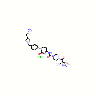 C[C@](N)(CO)C(=O)N1CCN(C(=O)Nc2ccn(-c3ccc(CN4CC(CCN)C4)cc3)c(=O)n2)CC1.Cl